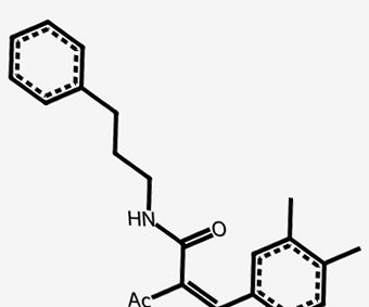 CC(=O)C(=Cc1ccc(C)c(C)c1)C(=O)NCCCc1ccccc1